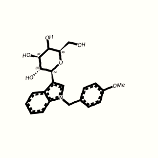 COc1ccc(Cn2cc([C@@H]3O[C@H](CO)C(O)[C@H](O)[C@H]3O)c3ccccc32)cc1